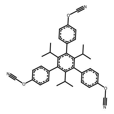 CC(C)c1c(-c2ccc(OC#N)cc2)c(C(C)C)c(-c2ccc(OC#N)cc2)c(C(C)C)c1-c1ccc(OC#N)cc1